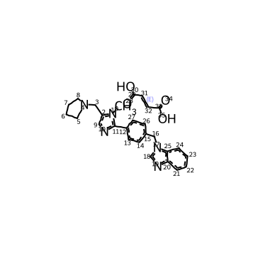 Cn1c(CN2CCCC2)cnc1-c1ccc(Cn2cnc3ccccc32)cc1.O=C(O)/C=C/C(=O)O